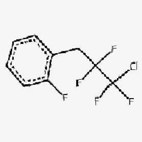 Fc1ccccc1CC(F)(F)C(F)(F)Cl